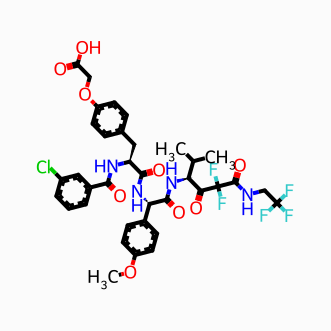 COc1ccc([C@H](NC(=O)[C@H](Cc2ccc(OCC(=O)O)cc2)NC(=O)c2cccc(Cl)c2)C(=O)N[C@H](C(=O)C(F)(F)C(=O)NCC(F)(F)F)C(C)C)cc1